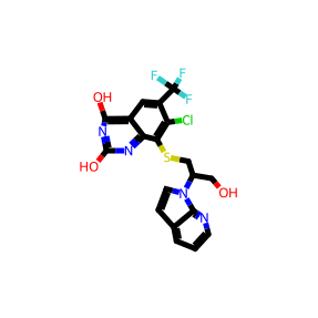 OCC(CSc1c(Cl)c(C(F)(F)F)cc2c(O)nc(O)nc12)n1ccc2cccnc21